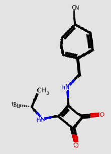 C[C@H](Nc1c(NCc2ccc(C#N)cc2)c(=O)c1=O)C(C)(C)C